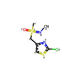 CS(=O)(Cc1csc(Cl)n1)=NC#N